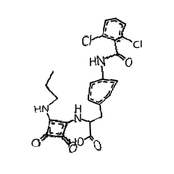 CCCNc1c(NC(Cc2ccc(NC(=O)c3c(Cl)cccc3Cl)cc2)C(=O)O)c(=O)c1=O